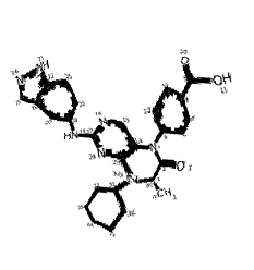 C[C@@H]1C(=O)N(c2ccc(C(=O)O)cc2)c2cnc(Nc3ccc4[nH]ncc4c3)nc2N1C1CCCCC1